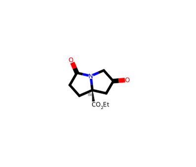 CCOC(=O)[C@@]12CCC(=O)N1CC(=O)C2